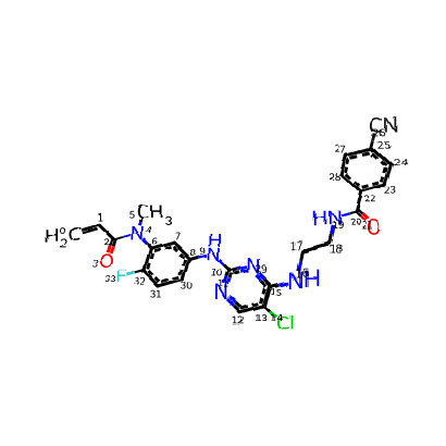 C=CC(=O)N(C)c1cc(Nc2ncc(Cl)c(NCCNC(=O)c3ccc(C#N)cc3)n2)ccc1F